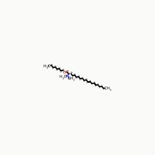 CCCCCC=CCC=CCCCCCCCCC[C@@H](COCCCCCCCC)N(C)C